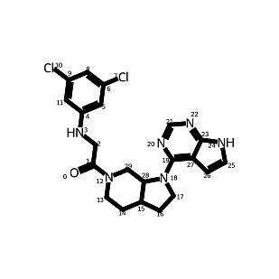 O=C(CNc1cc(Cl)cc(Cl)c1)N1CCC2CCN(c3ncnc4[nH]ccc34)C2C1